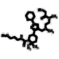 COCCCNC(=O)[C@H]1CC(c2nn(C3CCCCO3)cc2CN(C)CCN(C)C(=O)CC(C)(C)C)CCC1(C)C